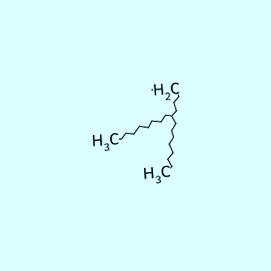 [CH2]CCCC(CCCCCCCC)CCCCCCCCC